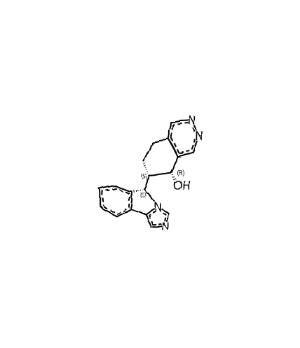 O[C@H]1c2cnncc2CC[C@H]1[C@H]1c2ccccc2-c2cncn21